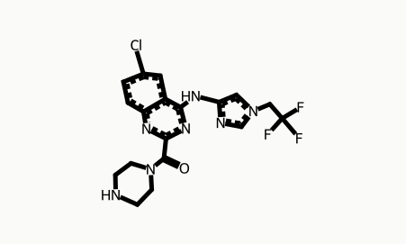 O=C(c1nc(Nc2cn(CC(F)(F)F)cn2)c2cc(Cl)ccc2n1)N1CCNCC1